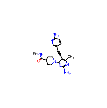 CCNC(=O)C1CCN(c2nc(N)nc(C)c2C#Cc2ccc(N)nc2)CC1